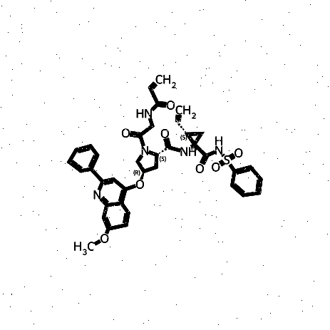 C=CC(=O)NCC(=O)N1C[C@H](Oc2cc(-c3ccccc3)nc3cc(OC)ccc23)C[C@H]1C(=O)N[C@]1(C(=O)NS(=O)(=O)c2ccccc2)C[C@H]1C=C